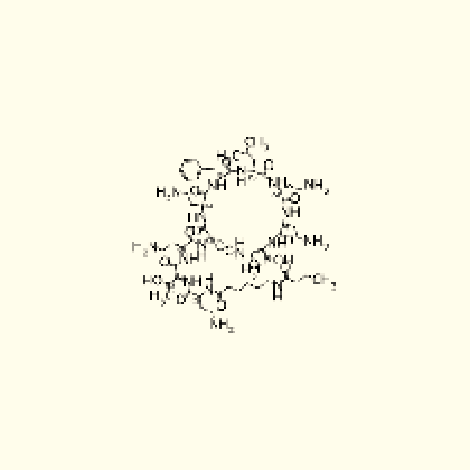 CCCC(=O)NCCCCCC(=O)N[C@@H](CCN)C(=O)N[C@H](C(=O)N[C@@H](CCN)C(=O)N[C@H]1CCNC(=O)[C@H]([C@@H](C)O)NC(=O)[C@H](CCN)NC(=O)[C@H](CCN)NC(=O)[C@H](CC(C)C)NC(=O)[C@@H](Cc2ccccc2)NC(=O)[C@H](CCN)NC1=O)[C@@H](C)O